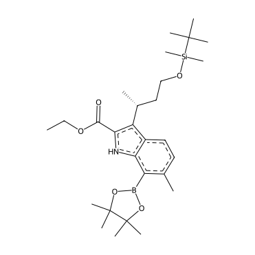 CCOC(=O)c1[nH]c2c(B3OC(C)(C)C(C)(C)O3)c(C)ccc2c1[C@H](C)CCO[Si](C)(C)C(C)(C)C